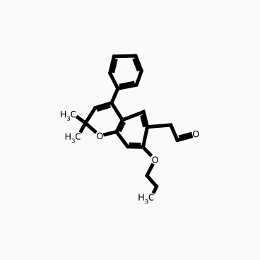 CCCOc1cc2c(cc1CC=O)C(c1ccccc1)=CC(C)(C)O2